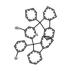 CC(C)(C)c1cc(C2(c3ccccc3)c3ccccc3-c3ccccc32)nc(C2(c3cccc(Br)c3)c3ccccc3-c3ccccc32)c1